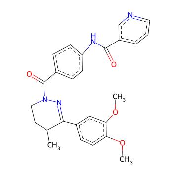 COc1ccc(C2=NN(C(=O)c3ccc(NC(=O)c4cccnc4)cc3)CCC2C)cc1OC